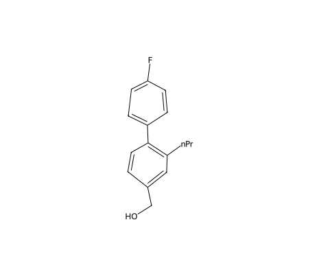 CCCc1cc(CO)ccc1-c1ccc(F)cc1